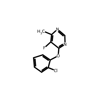 Cc1ncnc(Oc2ccccc2Cl)c1F